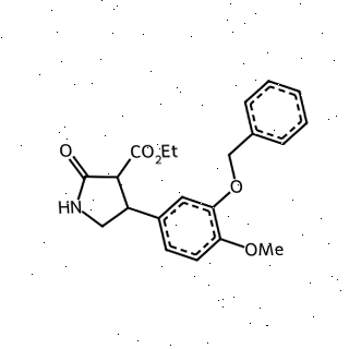 CCOC(=O)C1C(=O)NCC1c1ccc(OC)c(OCc2ccccc2)c1